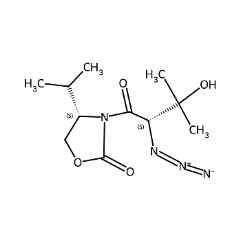 CC(C)[C@H]1COC(=O)N1C(=O)[C@@H](N=[N+]=[N-])C(C)(C)O